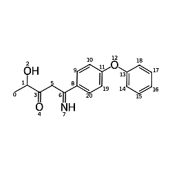 CC(O)C(=O)CC(=N)c1ccc(Oc2ccccc2)cc1